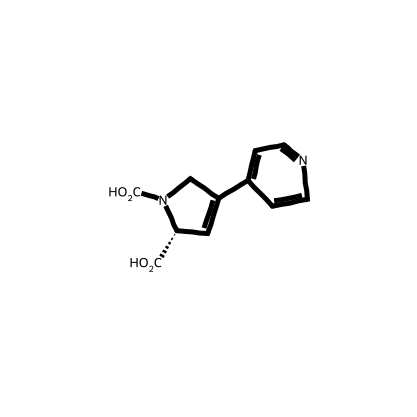 O=C(O)[C@H]1C=C(c2ccncc2)CN1C(=O)O